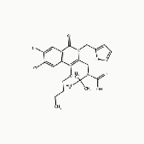 CCCCOc1c(CN(C(=O)O)C(C)(C)C)n(Cc2ccco2)c(=O)c2cc(Cl)c(Cl)cc12